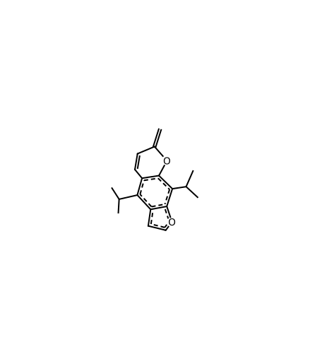 C=C1C=Cc2c(c(C(C)C)c3occc3c2C(C)C)O1